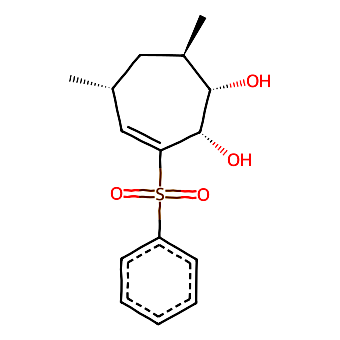 C[C@@H]1C[C@@H](C)C=C(S(=O)(=O)c2ccccc2)[C@@H](O)[C@H]1O